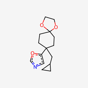 c1ncc(C2(CC3CC3)CCC3(CC2)OCCO3)o1